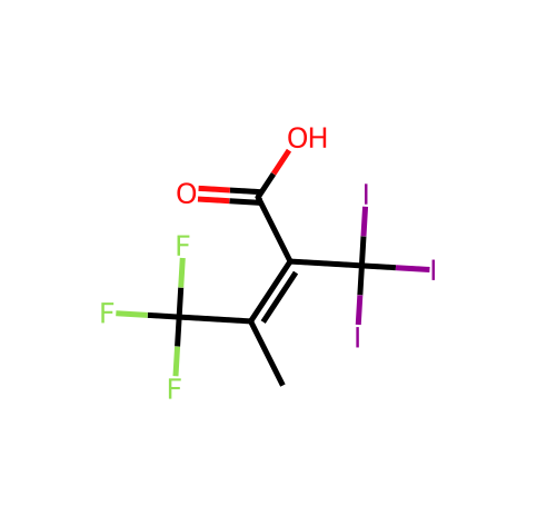 CC(=C(C(=O)O)C(I)(I)I)C(F)(F)F